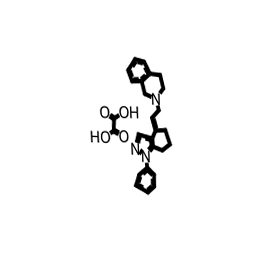 C(CN1CCc2ccccc2C1)=C1CCCc2c1cnn2-c1ccccc1.O=C(O)C(=O)O